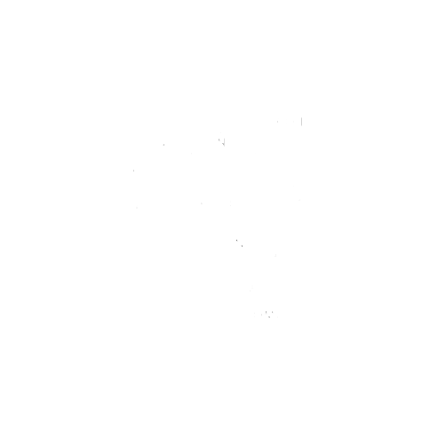 CCOC(=O)c1nc2ccccc2c(N2CC(OC)C2)c1O